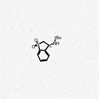 CC(C)(C)N[C@@H]1CS(=O)(=O)c2ccccc21